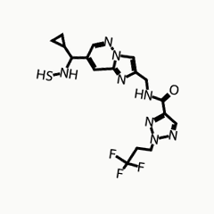 O=C(NCc1cn2ncc(C(NS)C3CC3)cc2n1)c1cnn(CCC(F)(F)F)n1